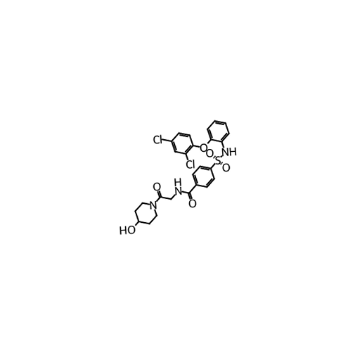 O=C(NCC(=O)N1CCC(O)CC1)c1ccc(S(=O)(=O)Nc2ccccc2Oc2ccc(Cl)cc2Cl)cc1